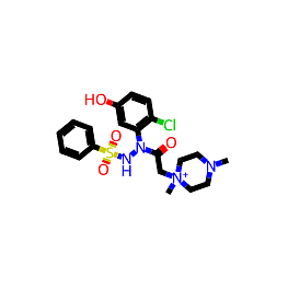 CN1CC[N+](C)(CC(=O)N(NS(=O)(=O)c2ccccc2)c2cc(O)ccc2Cl)CC1